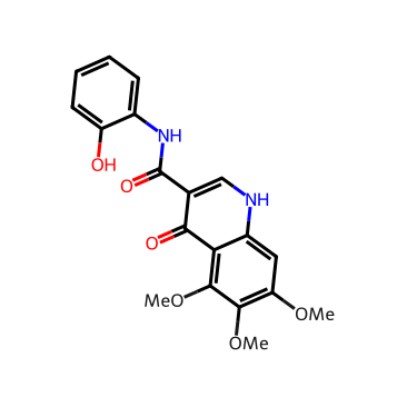 COc1cc2[nH]cc(C(=O)Nc3ccccc3O)c(=O)c2c(OC)c1OC